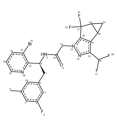 Cc1cc(F)cc(C[C@H](NC(=O)Cn2nc(C(F)F)c3c2C(F)(F)C2CC32)c2ncccc2Br)c1